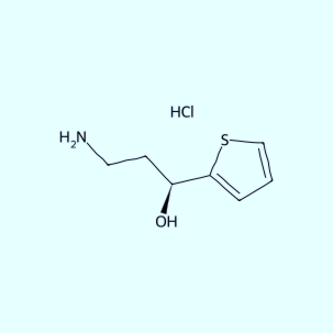 Cl.NCC[C@H](O)c1cccs1